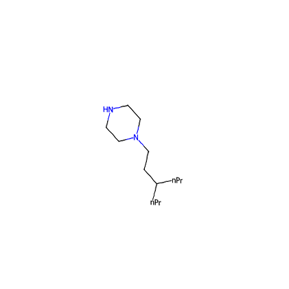 CCCC(CCC)CCN1CCNCC1